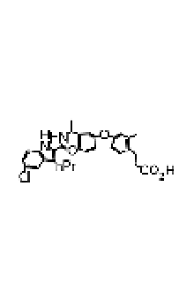 CCCc1c(C(=O)NC(C)c2cccc(Oc3ccc(CCC(=O)O)c(C)c3)c2)[nH]c2ccc(Cl)cc12